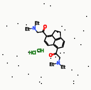 CCN(CC)CC(=O)c1ccc2c(C(=O)CN(CC)CC)ccc3c2c1CC3.Cl.Cl